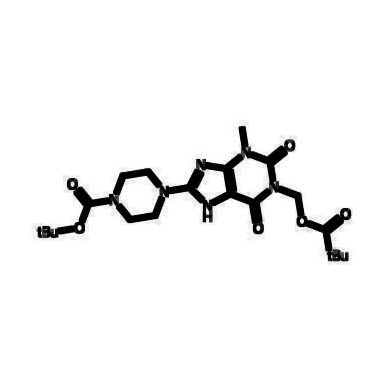 Cn1c(=O)n(COC(=O)C(C)(C)C)c(=O)c2[nH]c(N3CCN(C(=O)OC(C)(C)C)CC3)nc21